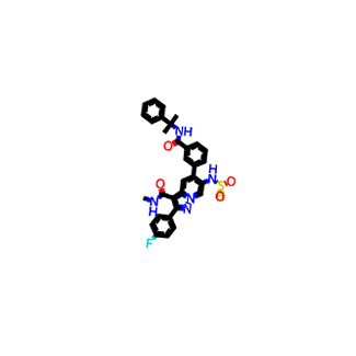 CNC(=O)c1c(-c2ccc(F)cc2)nn2cc(N[SH](=O)=O)c(-c3cccc(C(=O)NC(C)(C)c4ccccc4)c3)cc12